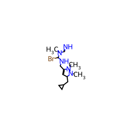 CN(C=N)C(Br)NCC1=CC(CC2CC2)N(C)N1C